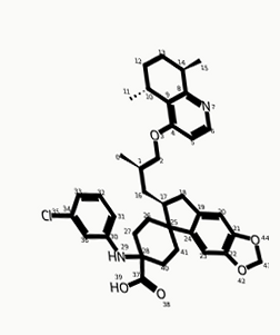 C[C@@H](COc1ccnc2c1[C@H](C)CC[C@H]2C)C[C@H]1Cc2cc3c(cc2C12CCC(Nc1cccc(Cl)c1)(C(=O)O)CC2)OCO3